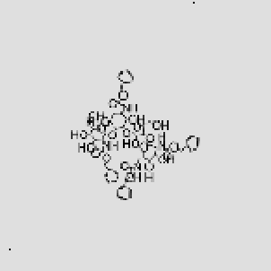 CC[C@H]1O[C@H](O[C@H]2[C@H](O[C@@H]3O[C@H](CO)[C@@H](O[C@H]4O[C@@H](CNC(=O)OCc5ccccc5)[C@@H](O)[C@H](O)[C@H]4NC(=O)OCc4ccccc4)[C@H]3O)[C@@H](O)[C@H](NC(=O)OCc3ccccc3)C[C@@H]2C)[C@H](NC(=O)OCc2ccccc2)[C@@H](O)[C@@H]1O